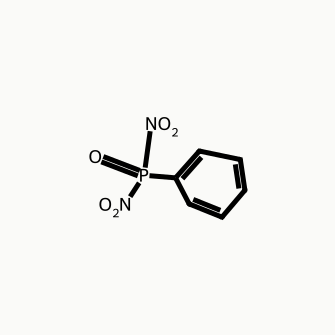 O=[N+]([O-])P(=O)(c1ccccc1)[N+](=O)[O-]